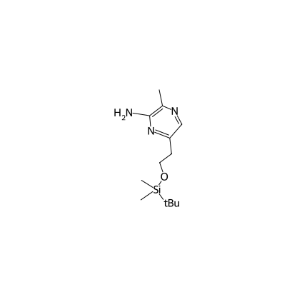 Cc1ncc(CCO[Si](C)(C)C(C)(C)C)nc1N